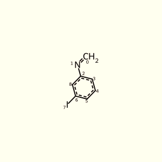 C=Nc1cccc(I)c1